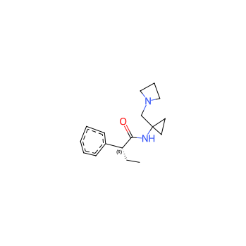 CC[C@@H](C(=O)NC1(CN2CCC2)CC1)c1ccccc1